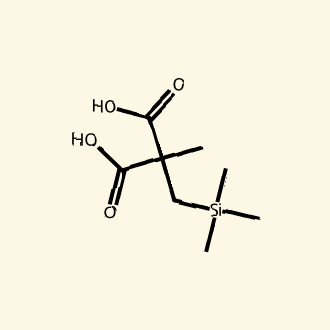 CC(C[Si](C)(C)C)(C(=O)O)C(=O)O